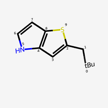 CC(C)(C)Cc1cc2[nH]ccc2s1